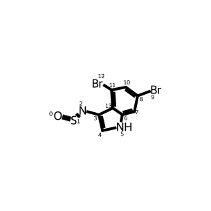 O=S=Nc1c[nH]c2cc(Br)cc(Br)c12